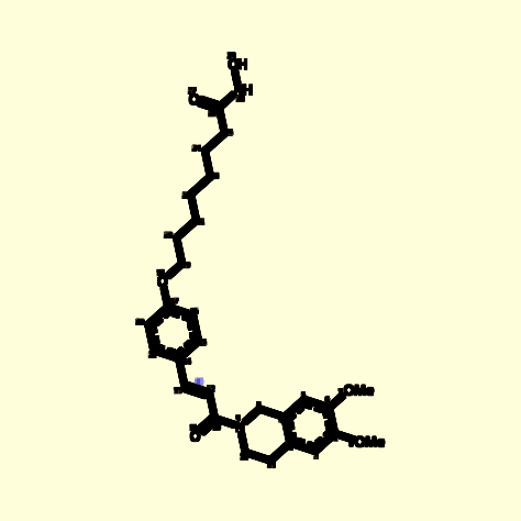 COc1cc2c(cc1OC)CN(C(=O)/C=C/c1ccc(OCCCCCCCC(=O)NO)cc1)CC2